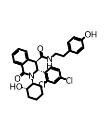 O=C(NCCc1ccc(O)cc1)[C@@H]1c2ccccc2C(=O)N([C@H]2CCCC[C@@H]2O)[C@H]1c1ccc(Cl)cc1Cl